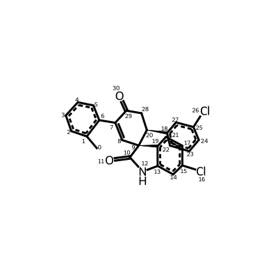 Cc1ccccc1C1=C[C@@]2(C(=O)Nc3cc(Cl)ccc32)[C@H](c2cccc(Cl)c2)CC1=O